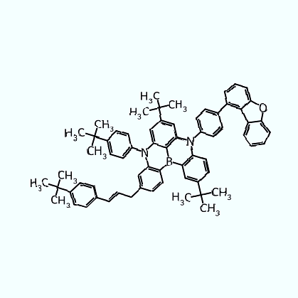 CC(C)(C)c1ccc(/C=C/Cc2ccc3c(c2)N(c2ccc(C(C)(C)C)cc2)c2cc(C(C)(C)C)cc4c2B3c2cc(C(C)(C)C)ccc2N4c2ccc(-c3cccc4oc5ccccc5c34)cc2)cc1